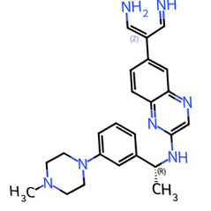 C[C@@H](Nc1cnc2cc(/C(C=N)=C/N)ccc2n1)c1cccc(N2CCN(C)CC2)c1